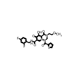 COCCN1CN(C(=O)c2cccs2)n2cc(C(=O)NCc3ccc(F)cc3F)c(=O)c(O)c2C1=O